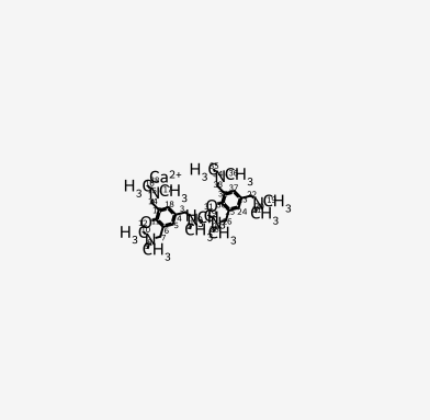 CN(C)Cc1cc(CN(C)C)c([O-])c(CN(C)C)c1.CN(C)Cc1cc(CN(C)C)c([O-])c(CN(C)C)c1.[Ca+2]